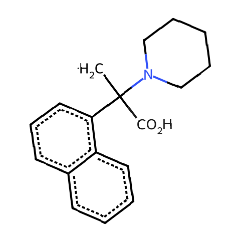 [CH2]C(C(=O)O)(c1cccc2ccccc12)N1CCCCC1